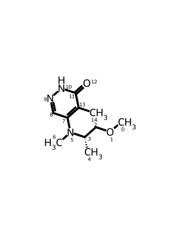 COC[C@H](C)N(C)c1cn[nH]c(=O)c1C